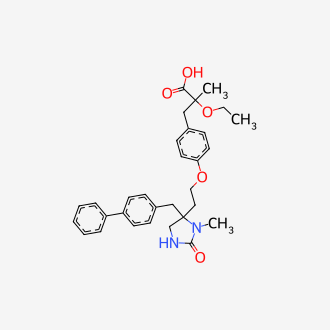 CCOC(C)(Cc1ccc(OCCC2(Cc3ccc(-c4ccccc4)cc3)CNC(=O)N2C)cc1)C(=O)O